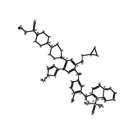 Cn1cc(-c2cc(Nc3ncc(Br)c(Nc4cnc5ccccc5c4P(C)(C)=O)n3)c(OCC3CC3)cc2N2CCC(N3CCN(C(=O)OC(C)(C)C)CC3)CC2)cn1